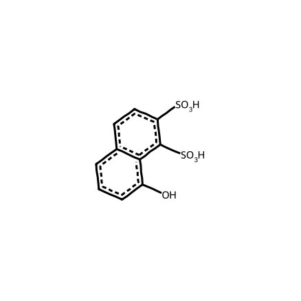 O=S(=O)(O)c1ccc2cccc(O)c2c1S(=O)(=O)O